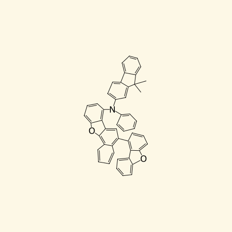 CC1(C)c2ccccc2-c2ccc(N(c3ccccc3)c3cccc4oc5c6ccccc6c(-c6cccc7oc8ccccc8c67)cc5c34)cc21